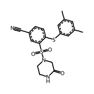 Cc1cc(C)cc(Sc2ccc(C#N)cc2S(=O)(=O)N2CCNC(=O)C2)c1